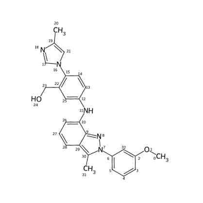 COc1cccc(-n2nc3c(Nc4ccc(-n5cnc(C)c5)c(CO)c4)cccc3c2C)c1